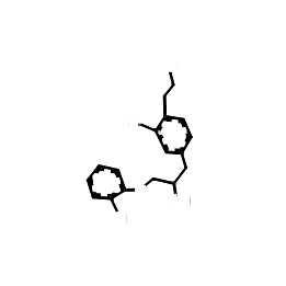 CC(C)CCc1ccc(CC(C)CSc2ccccc2Cl)cc1Cl